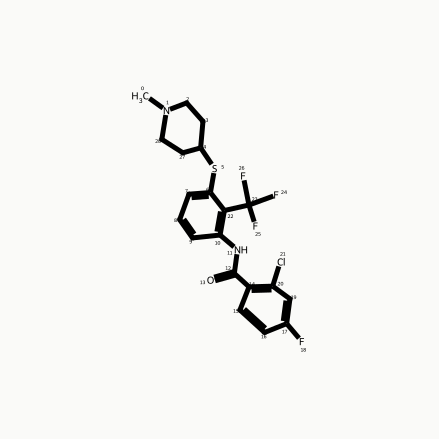 CN1CCC(Sc2cccc(NC(=O)c3ccc(F)cc3Cl)c2C(F)(F)F)CC1